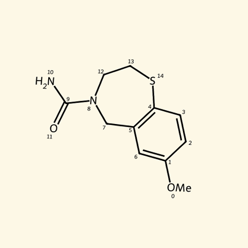 COc1ccc2c(c1)CN(C(N)=O)CCS2